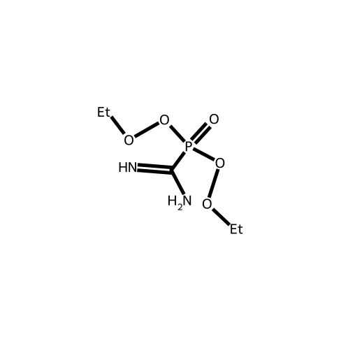 CCOOP(=O)(OOCC)C(=N)N